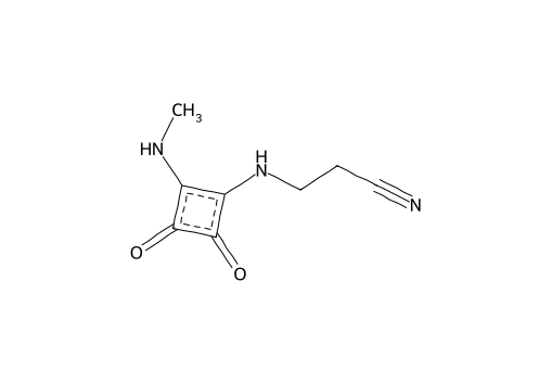 CNc1c(NCCC#N)c(=O)c1=O